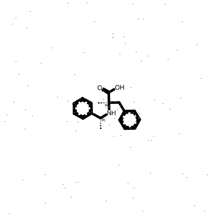 C[C@@H](N[C@](C)(Cc1ccccc1)C(=O)O)c1ccccc1